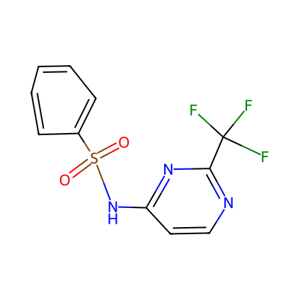 O=S(=O)(Nc1ccnc(C(F)(F)F)n1)c1ccccc1